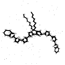 CCCCCCCCC1(CCCCCCCC)c2cc(-c3ccc(-c4ccc(-c5nc6c(s5)CCCC6)s4)s3)sc2-c2sc(-c3ccc(-c4ccc(-c5nc6c(s5)CCCC6)s4)s3)cc21